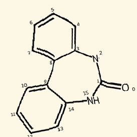 O=C1[N]c2ccccc2-c2ccccc2N1